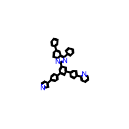 c1ccc(-c2ccc3nc(-c4cc(-c5ccc(-c6ccncc6)cc5)cc(-c5ccc(-c6ccccn6)cc5)c4)nc(-c4ccccc4)c3c2)cc1